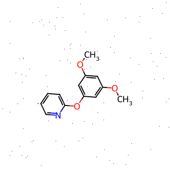 COc1cc(OC)cc(Oc2cc[c]cn2)c1